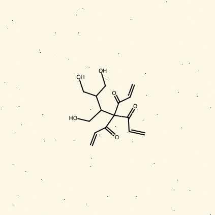 C=CC(=O)C(C(=O)C=C)(C(=O)C=C)C(CO)C(CO)CO